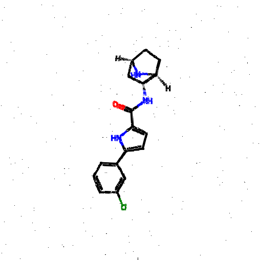 O=C(N[C@@H]1C[C@H]2CC[C@@H]1N2)c1ccc(-c2cccc(Cl)c2)[nH]1